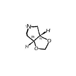 C1O[C@H]2C[N]C[C@H]2O1